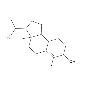 CC1=C2CCC3(C)C(C(C)O)CCC3C2CCC1O